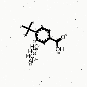 CC(C)(C)c1ccc(C(=O)O)cc1.[Al+3].[OH-].[OH-].[OH-]